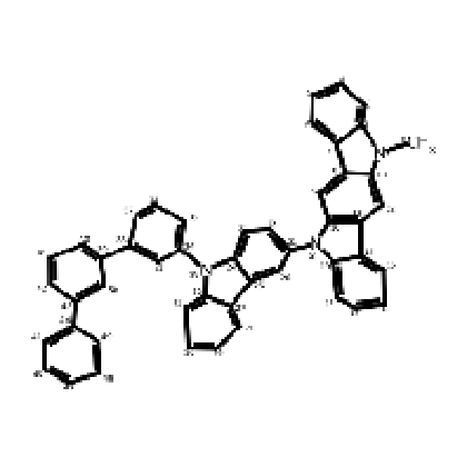 Cn1c2ccccc2c2cc3c(cc21)c1ccccc1n3-c1ccc2c(c1)c1ccccc1n2-c1cccc(-c2cccc(-c3ccccc3)c2)c1